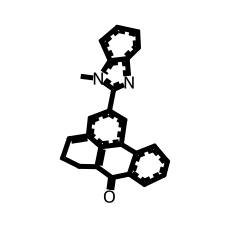 Cn1c(-c2cc3c4c(c2)=CCCC=4C(=O)c2ccccc2-3)nc2ccccc21